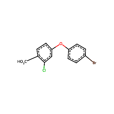 O=C(O)c1ccc(Oc2ccc(Br)cc2)cc1Cl